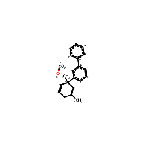 CC1CC=CC(C)(c2cccc(-c3ccccc3)c2)C1.O=C(O)O